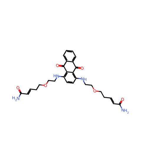 NC(=O)C=CCCOCCNc1ccc(NCCOCCC=CC(N)=O)c2c1C(=O)c1ccccc1C2=O